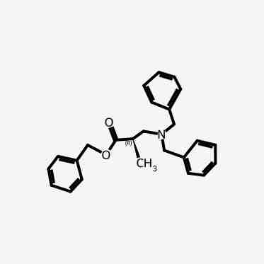 C[C@H](CN(Cc1ccccc1)Cc1ccccc1)C(=O)OCc1ccccc1